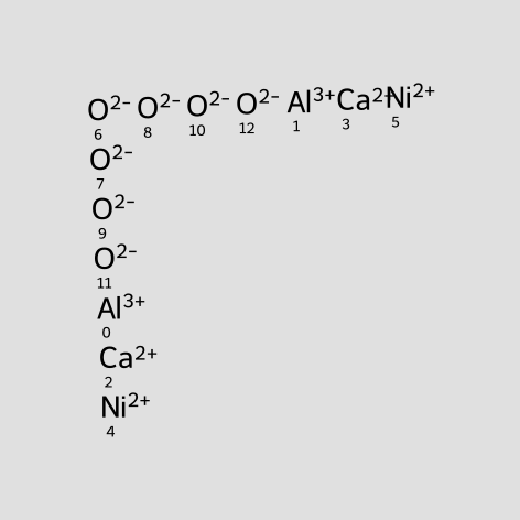 [Al+3].[Al+3].[Ca+2].[Ca+2].[Ni+2].[Ni+2].[O-2].[O-2].[O-2].[O-2].[O-2].[O-2].[O-2]